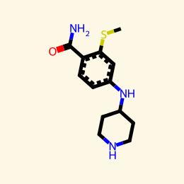 CSc1cc(NC2CCNCC2)ccc1C(N)=O